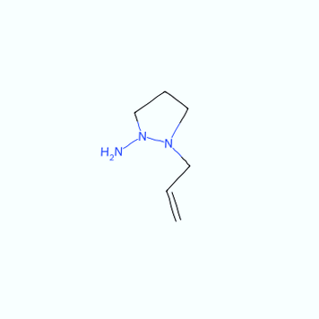 C=CCN1CCCN1N